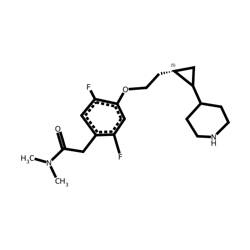 CN(C)C(=O)Cc1cc(F)c(OCC[C@@H]2CC2C2CCNCC2)cc1F